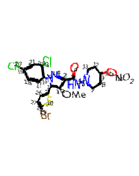 COc1c(C(=O)NN2CCC(O[N+](=O)[O-])CC2)nn(-c2ccc(Cl)cc2Cl)c1-c1ccc(Br)s1